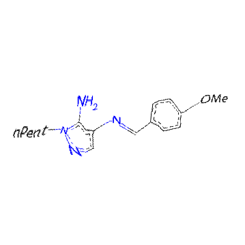 CCCCCn1ncc(N=Cc2ccc(OC)cc2)c1N